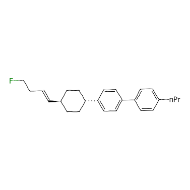 CCCc1ccc(-c2ccc([C@H]3CC[C@H](C=CCCF)CC3)cc2)cc1